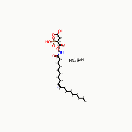 CCCCCCCC/C=C\CCCCCCCC(=O)NOC(=O)C(CC(=O)O)S(=O)(=O)O.[NaH].[NaH]